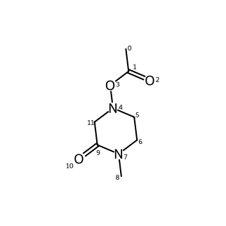 CC(=O)ON1CCN(C)C(=O)C1